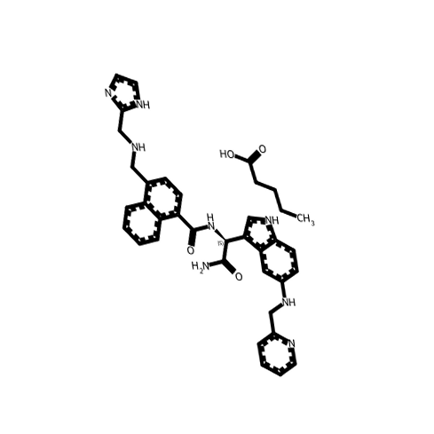 CCCCC(=O)O.NC(=O)[C@@H](NC(=O)c1ccc(CNCc2ncc[nH]2)c2ccccc12)c1c[nH]c2ccc(NCc3ccccn3)cc12